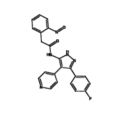 O=Nc1ccccc1CC(=O)Nc1[nH]nc(-c2ccc(F)cc2)c1-c1ccncc1